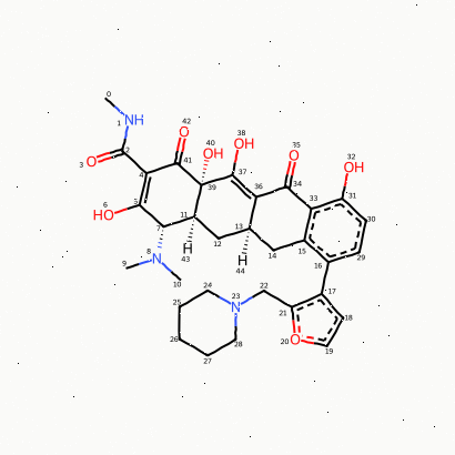 CNC(=O)C1=C(O)[C@@H](N(C)C)[C@@H]2C[C@@H]3Cc4c(-c5ccoc5CN5CCCCC5)ccc(O)c4C(=O)C3=C(O)[C@]2(O)C1=O